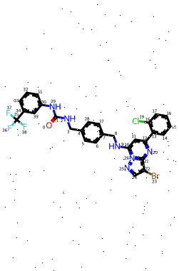 O=C(NCc1ccc(CNc2cc(-c3ccccc3Cl)nc3c(Br)cnn23)cc1)Nc1cccc(C(F)(F)F)c1